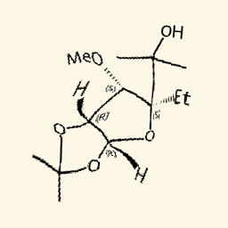 CC[C@]1(C(C)(C)O)O[C@@H]2OC(C)(C)O[C@@H]2[C@@H]1OC